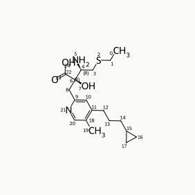 CCSC[C@H](N)[C@](O)(Cc1cc(CCCC2CC2)c(C)cn1)C(=O)O